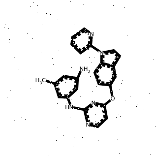 Cc1cc(N)cc(Nc2nccc(Oc3ccc4c(ccn4-c4ccccn4)c3)n2)c1